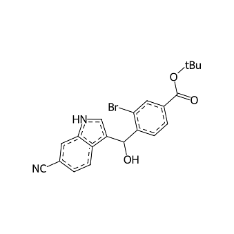 CC(C)(C)OC(=O)c1ccc(C(O)c2c[nH]c3cc(C#N)ccc23)c(Br)c1